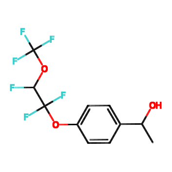 CC(O)c1ccc(OC(F)(F)C(F)OC(F)(F)F)cc1